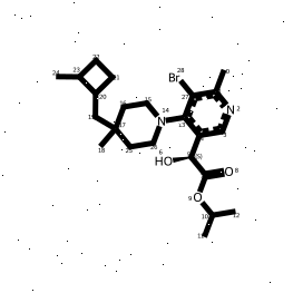 Cc1ncc([C@H](O)C(=O)OC(C)C)c(N2CCC(C)(CC3CCC3C)CC2)c1Br